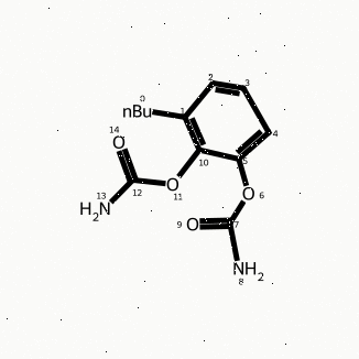 CCCCc1cccc(OC(N)=O)c1OC(N)=O